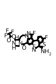 N#Cc1c(N)sc2c(F)ccc(-c3c(F)cc4c5c3c(F)nn5CC[C@@H]3C(OC(=O)C(F)(F)F)NCCN3C4=O)c12